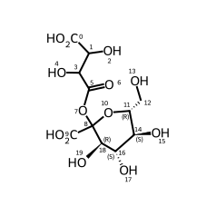 O=C(O)C(O)C(O)C(=O)OC1(C(=O)O)O[C@H](CO)[C@@H](O)[C@H](O)[C@H]1O